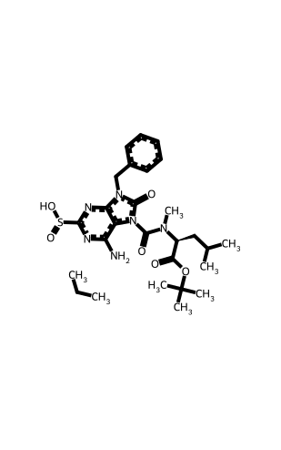 CC(C)C[C@@H](C(=O)OC(C)(C)C)N(C)C(=O)n1c(=O)n(Cc2ccccc2)c2nc(S(=O)O)nc(N)c21.CCC